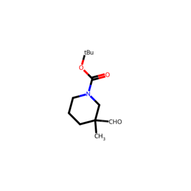 CC1(C=O)CCCN(C(=O)OC(C)(C)C)C1